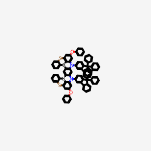 c1ccc(Oc2cc3c4c(c2)N(c2ccc5c(c2)-c2ccccc2C5(c2ccccc2)c2ccccc2)c2cc5c(cc2B4c2ccccc2S3)B2c3ccccc3Sc3cc(Oc4ccccc4)cc(c32)N5c2ccc3c(c2)-c2ccccc2C3(c2ccccc2)c2ccccc2)cc1